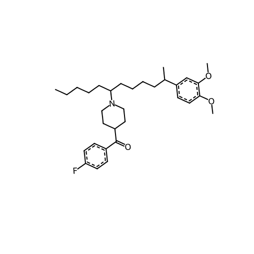 CCCCCC(CCCCC(C)c1ccc(OC)c(OC)c1)N1CCC(C(=O)c2ccc(F)cc2)CC1